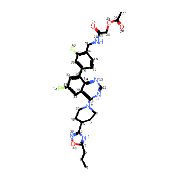 CCCc1nc(C2CCN(c3ncnc4c(-c5ccc(CNC(=O)COC(C)=O)c(F)c5)cc(F)cc34)CC2)no1